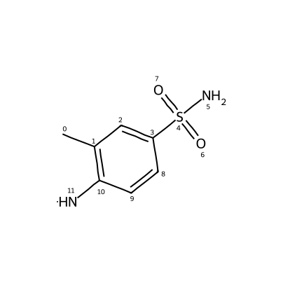 Cc1cc(S(N)(=O)=O)ccc1[NH]